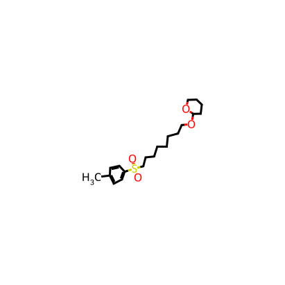 Cc1ccc(S(=O)(=O)CCCCCCCCOC2CCCCO2)cc1